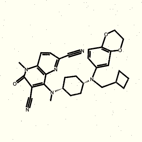 Cn1c(=O)c(C#N)c(N(C)[C@H]2CC[C@@H](N(CC3CCC3)c3ccc4c(c3)OCCO4)CC2)c2nc(C#N)ccc21